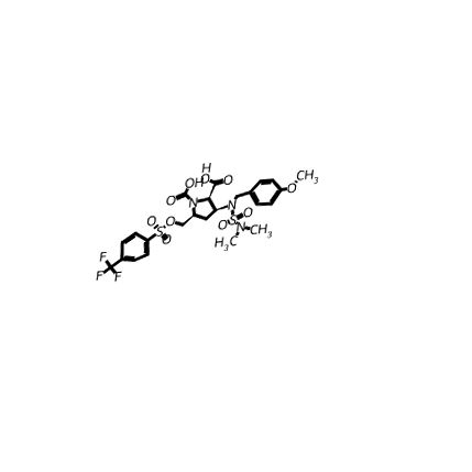 COc1ccc(CN([C@H]2C[C@@H](COS(=O)(=O)c3ccc(C(F)(F)F)cc3)N(C(=O)O)[C@H]2C(=O)O)S(=O)(=O)N(C)C)cc1